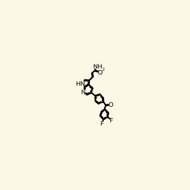 NC(=O)C=Cc1c[nH]c2ncc(-c3ccc(C(=O)c4ccc(F)c(F)c4)cc3)cc12